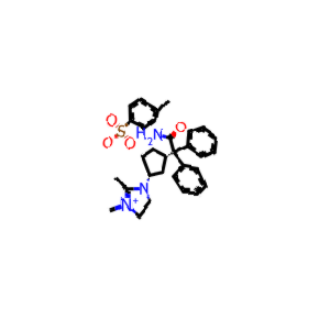 CC1=[N+](C)CCN1[C@@H]1CC[C@H](C(C(N)=O)(c2ccccc2)c2ccccc2)C1.Cc1ccc(S(=O)(=O)[O-])cc1